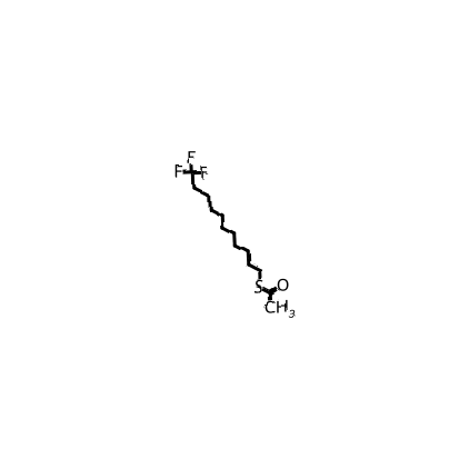 CC(=O)SCCCCCCCCCCC(F)(F)F